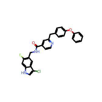 O=C(NCc1cc2c(Cl)c[nH]c2cc1F)c1ccnc(Cc2ccc(Oc3ccccc3)cc2)c1